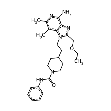 CCOCc1nc2c(N)nc(C)c(C)c2n1CCC1CCN(C(=O)Nc2ccccc2)CC1